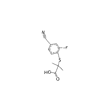 CC(C)(Sc1ccc(C#N)cc1F)C(=O)O